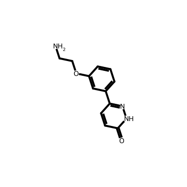 NCCOc1cccc(-c2ccc(=O)[nH]n2)c1